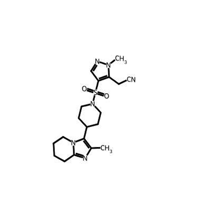 Cc1nc2n(c1C1CCN(S(=O)(=O)c3cnn(C)c3CC#N)CC1)CCCC2